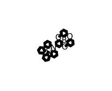 c1ccc([Si]2(c3ccccc3)c3ccccc3N(c3cc4c5c(c3)Oc3cccc6c3B5c3c(cccc3O4)O6)c3ccccc32)cc1